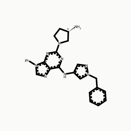 CC(C)n1cnc2c(Nc3cnn(Cc4ccccc4)c3)nc(N3CC[C@H](N)C3)nc21